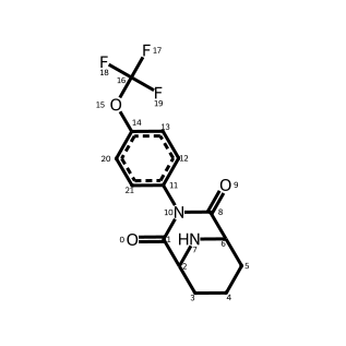 O=C1C2CCCC(N2)C(=O)N1c1ccc(OC(F)(F)F)cc1